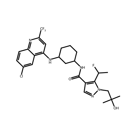 CC(F)c1c(C(=O)NC2CCCC(Nc3cc(C(F)(F)F)nc4ccc(Cl)cc34)C2)cnn1CC(C)(C)O